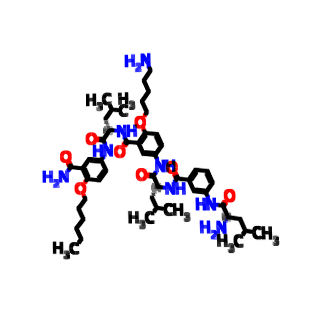 CCCCCCOc1ccc(NC(=O)[C@H](CC(C)C)NC(=O)c2cc(NC(=O)[C@@H](CC(C)C)NC(=O)c3cccc(NC(=O)[C@@H](N)CC(C)C)c3)ccc2OCCCCCN)cc1C(N)=O